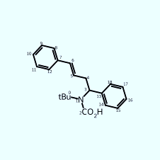 CC(C)(C)N(C(=O)O)C(CC=Cc1ccccc1)c1ccccc1